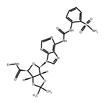 CCNC(=O)[C@H]1O[C@@H](n2cnc3c(NC(=O)Nc4ccccc4S(N)(=O)=O)ncnc32)[C@@H]2OC(C)(C)O[C@@H]21